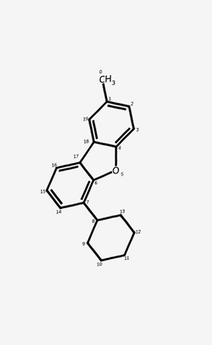 Cc1ccc2oc3c(C4CCCCC4)cccc3c2c1